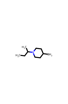 BC1CCN(C(C)CC)CC1